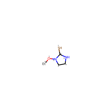 CCON1CCNC1S